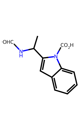 CC(N[C]=O)c1cc2ccccc2n1C(=O)O